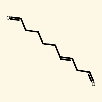 O=CCC=CCCCCC=O